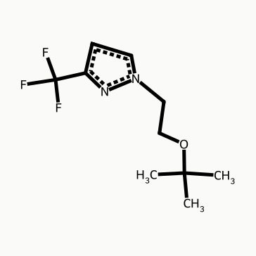 CC(C)(C)OCCn1ccc(C(F)(F)F)n1